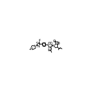 CC=C(C)C1CN(C(=O)C(CC(C)C)NC(=O)c2ccc(-c3nc(N4CCN(C)CC4)sc3F)cc2)C2C(=O)COC12